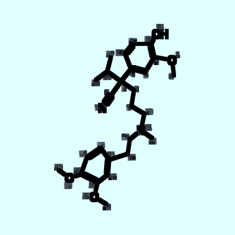 COc1cc(C(C#N)(CCCN(C)CCc2ccc(OC)c(OC)c2)C(C)C)ccc1O